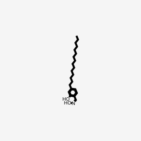 CCCCCCCCCCCCCCCc1ccc(/C=N\O)c(O)c1